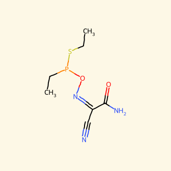 CCSP(CC)ON=C(C#N)C(N)=O